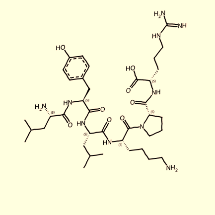 CC(C)C[C@H](NC(=O)[C@H](Cc1ccc(O)cc1)NC(=O)[C@@H](N)CC(C)C)C(=O)N[C@@H](CCCCN)C(=O)N1CCC[C@H]1C(=O)N[C@@H](CCCNC(=N)N)C(=O)O